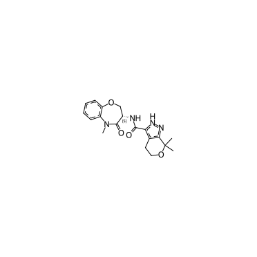 CN1C(=O)[C@@H](NC(=O)c2[nH]nc3c2CCOC3(C)C)COc2ccccc21